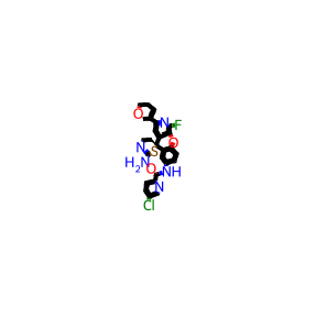 NC1=NCC[C@]2(S1)c1cc(NC(=O)c3ccc(Cl)cn3)ccc1Oc1c2cc(C2=CCCOC2)nc1F